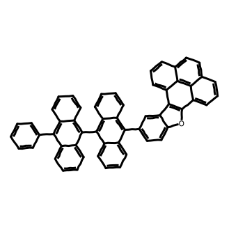 c1ccc(-c2c3ccccc3c(-c3c4ccccc4c(-c4ccc5oc6c7cccc8ccc9cccc(c6c5c4)c9c87)c4ccccc34)c3ccccc23)cc1